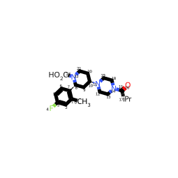 Cc1cc(F)ccc1[C@H]1C[C@@H](N2CCN(C(=O)C(C)C)CC2)CCN1C(=O)O